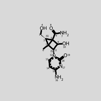 CC12[C@H](CO)C1(C(N)=O)C(O)[C@H]2n1ccc(N)nc1=O